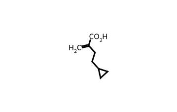 C=C(CCC1CC1)C(=O)O